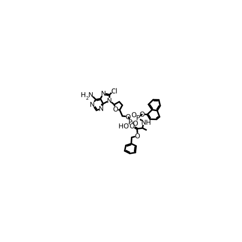 CC(NP(=O)(Oc1cccc2ccccc12)OP(O)OCC1CCC(n2c(Cl)nc3c(N)ncnc32)O1)C(=O)OCc1ccccc1